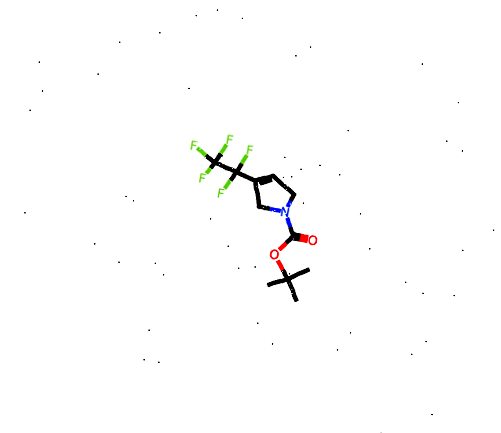 CC(C)(C)OC(=O)N1CC=C(C(F)(F)C(F)(F)F)C1